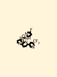 O=C(Nc1ccc(F)cn1)N1c2nc(-c3cncc(C(F)(F)F)c3)ccc2N2CC[C@H]1C2